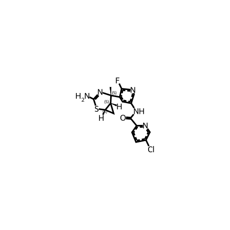 C[C@]1(c2cc(NC(=O)c3ccc(Cl)cn3)cnc2F)N=C(N)S[C@H]2C[C@H]21